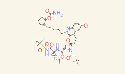 C=C[C@@H]1C[C@]1(NC(=O)[C@@H]1C[C@]2(CCc3c(c(CCCCC[C@@H]4CCC[C@H]4OC(N)=O)nc4ccc(OC)cc34)O2)CN1C(=O)CC(C)(C)C)C(=O)NS(=O)(=O)C1(C)CC1